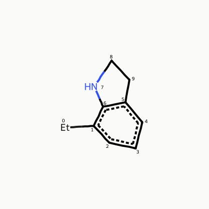 [CH2]Cc1cccc2c1NCC2